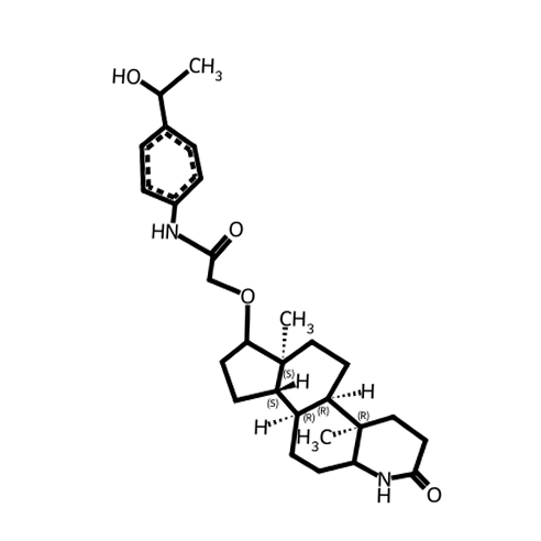 CC(O)c1ccc(NC(=O)COC2CC[C@H]3[C@@H]4CCC5NC(=O)CC[C@]5(C)[C@@H]4CC[C@]23C)cc1